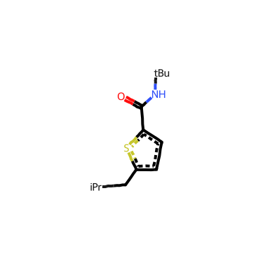 CC(C)Cc1ccc(C(=O)NC(C)(C)C)s1